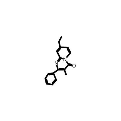 CCc1ccn2c(=O)c(C)c(-c3ccccc3)nc2c1